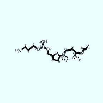 CCCCOP(O)OCC1CCC(N(C)/C=C\C(N)=N/C=O)O1